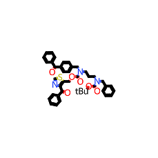 CC(C)(C)OC(=O)N(CCCN(Cc1ccc(C(=O)c2ccccc2)cc1)C(=O)OCc1scnc1C(=O)c1ccccc1)Cc1ccccc1